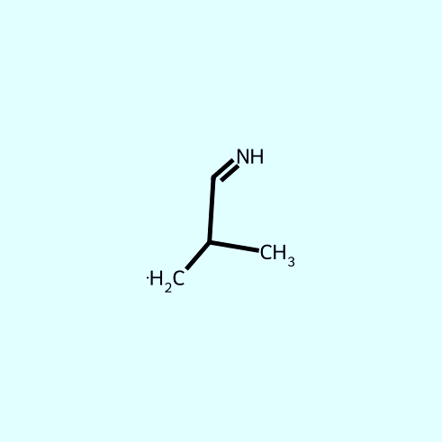 [CH2]C(C)C=N